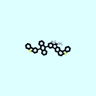 CC1(C)c2ccc(-c3c4ccccc4c(-c4ccc5sc6ccccc6c5c4)c4ccccc34)cc2-c2cc3ccc4sc5ccccc5c4c3cc21